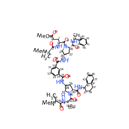 CN[C@@H](C)C(=O)N[C@@H](CCC(=O)OC)C(=O)N1C[C@@H](NC(=O)c2cccc(C(=O)N[C@H]3C[C@@H](C(=O)N[C@@H]4CCCc5ccccc54)N(C(=O)[C@@H](NC(=O)[C@H](C)NC)C(C)(C)C)C3)c2)C[C@H]1C(=O)N[C@H](C)c1ccccc1